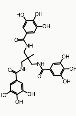 CC(CNC(=O)c1cc(O)c(O)c(O)c1)(CNC(=O)c1cc(O)c(O)c(O)c1)CNC(=O)c1cc(O)c(O)c(O)c1